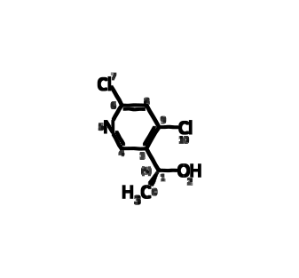 C[C@H](O)c1cnc(Cl)cc1Cl